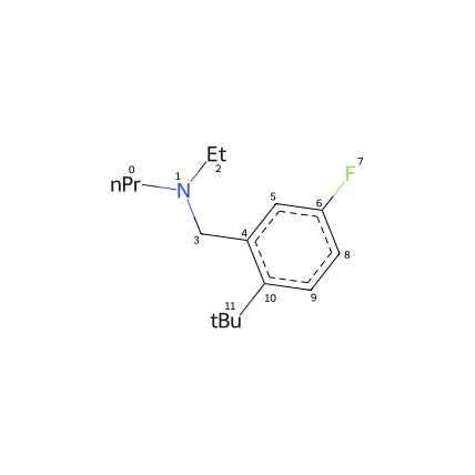 CCCN(CC)Cc1cc(F)ccc1C(C)(C)C